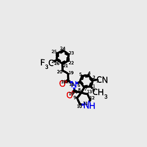 Cc1c(C#N)ccc2c1C1(CCNCC1)C(=O)N2C(=O)CCc1ccccc1C(F)(F)F